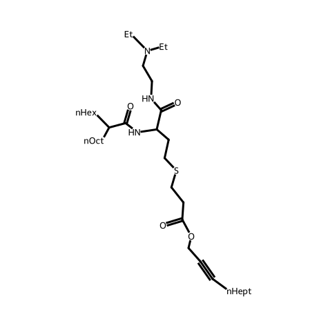 CCCCCCCC#CCOC(=O)CCSCCC(NC(=O)C(CCCCCC)CCCCCCCC)C(=O)NCCN(CC)CC